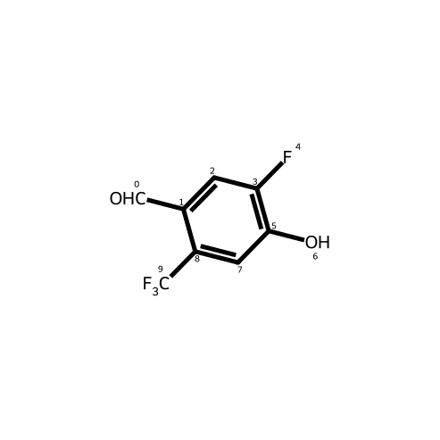 O=Cc1cc(F)c(O)cc1C(F)(F)F